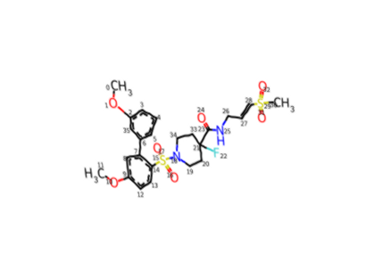 COc1cccc(-c2cc(OC)ccc2S(=O)(=O)N2CCC(F)(C(=O)NC/C=C/S(C)(=O)=O)CC2)c1